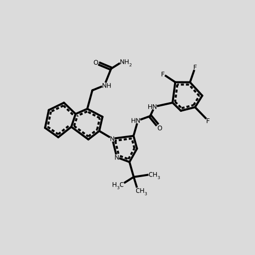 CC(C)(C)c1cc(NC(=O)Nc2cc(F)cc(F)c2F)n(-c2cc(CNC(N)=O)c3ccccc3c2)n1